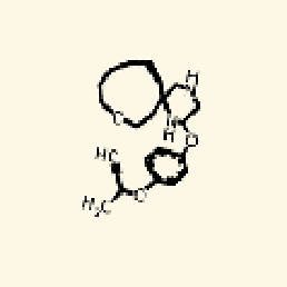 C#CC(C)Oc1ccc(OC2CNCC3(/C=C\CCCCCCC3)N2)cc1